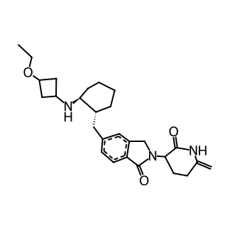 C=C1CCC(N2Cc3cc(C[C@H]4CCCC[C@@H]4NC4CC(OCC)C4)ccc3C2=O)C(=O)N1